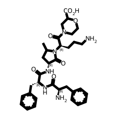 CC1C[C@@H](NC(=O)[C@@H](Cc2ccccc2)NC(=O)[C@H](N)Cc2ccccc2)C(=O)N1[C@H](CCCN)C(=O)N1CCOC(C(=O)O)C1